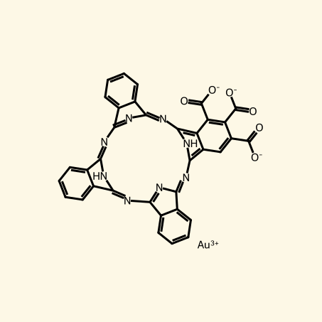 O=C([O-])c1cc2c3nc4nc(nc5[nH]c(nc6nc(nc([nH]3)c2c(C(=O)[O-])c1C(=O)[O-])-c1ccccc1-6)c1ccccc51)-c1ccccc1-4.[Au+3]